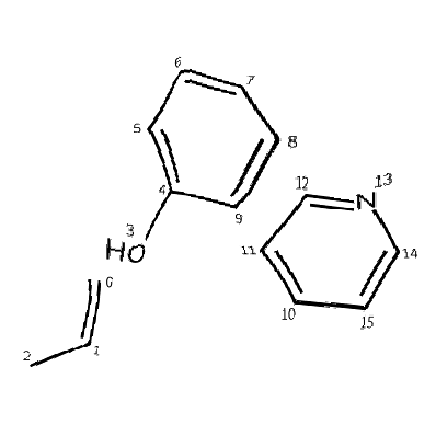 C=CC.Oc1ccccc1.c1ccncc1